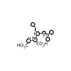 O=C(O)c1ccnc(-c2cc(C(=O)O)cc(-c3cc(-c4ccc(N(c5ccccc5)c5ccccc5)s4)cc(/C=C/c4ccccc4)n3)n2)c1